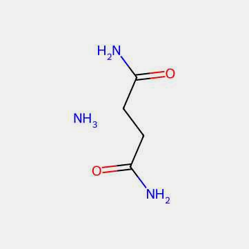 N.NC(=O)CCC(N)=O